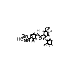 Cc1ccccc1Oc1ccc(C(F)(F)F)cc1C(=O)Nc1ccn(COP(=O)(O)O)c(=O)c1